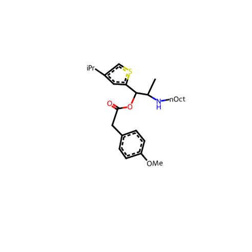 CCCCCCCCNC(C)C(OC(=O)Cc1ccc(OC)cc1)c1cc(C(C)C)cs1